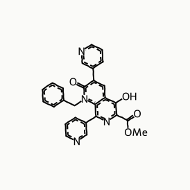 COC(=O)c1nc(-c2cccnc2)c2c(cc(-c3cccnc3)c(=O)n2Cc2ccccc2)c1O